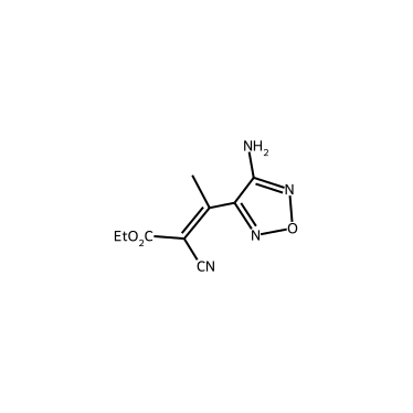 CCOC(=O)C(C#N)=C(C)c1nonc1N